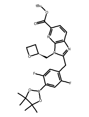 CC(C)(C)OC(=O)c1ccc2nc(Cc3cc(F)c(B4OC(C)(C)C(C)(C)O4)cc3F)n(C[C@@H]3CCO3)c2n1